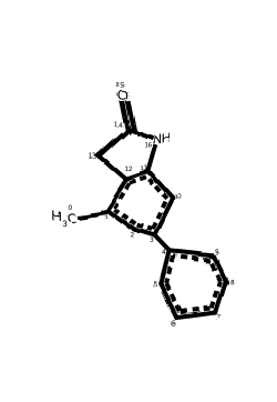 Cc1cc(-c2ccccc2)cc2c1CC(=O)N2